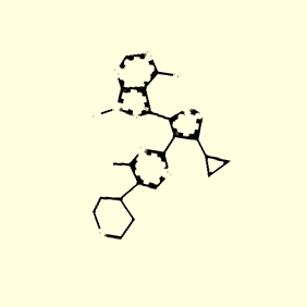 Cc1nc(-c2c(-c3nn(C(C)(C)C)c4ncnc(N)c34)noc2C2CC2)ncc1C1CCNCC1